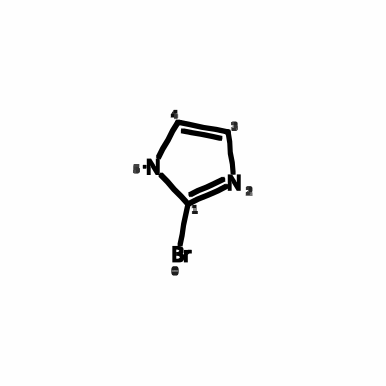 BrC1=NC=C[N]1